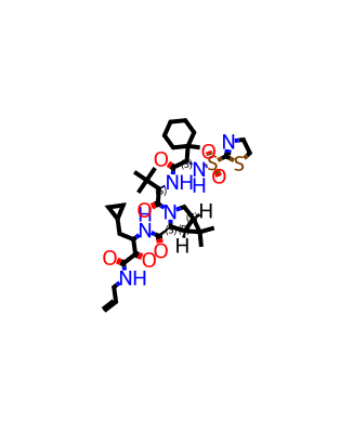 C=CCNC(=O)C(=O)C(CC1CC1)NC(=O)[C@@H]1[C@@H]2[C@H](CN1C(=O)[C@@H](NC(=O)[C@@H](NS(=O)(=O)C1=NCCS1)C1(C)CCCCC1)C(C)(C)C)C2(C)C